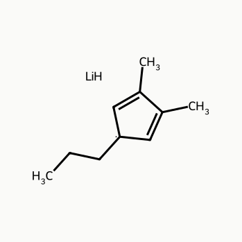 CCC[C]1C=C(C)C(C)=C1.[LiH]